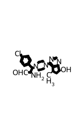 C[C@@H]1C[C@@H](O)c2ncnc(N3CCN(C(c4ccc(Cl)cc4)C(N)C=O)CC3)c21